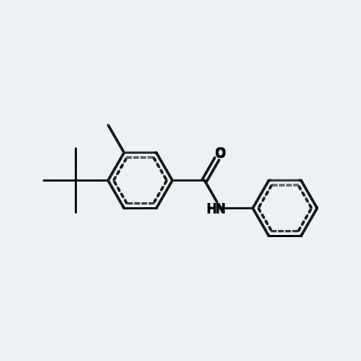 Cc1cc(C(=O)Nc2ccccc2)ccc1C(C)(C)C